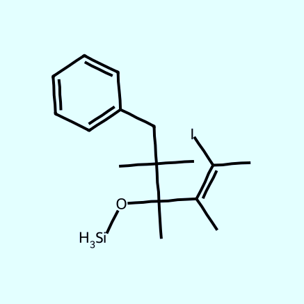 CC(I)=C(C)C(C)(O[SiH3])C(C)(C)Cc1ccccc1